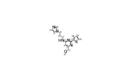 COCc1cc(NCCCn2ccnc2)nc(-c2cccs2)n1